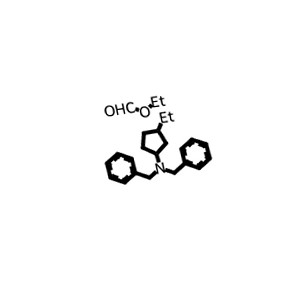 CCC1CCC(N(Cc2ccccc2)Cc2ccccc2)C1.CCOC=O